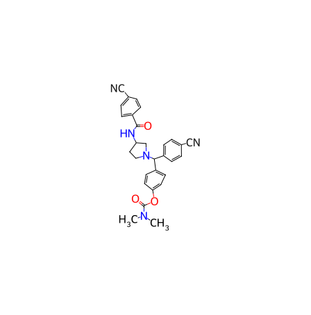 CN(C)C(=O)Oc1ccc(C(c2ccc(C#N)cc2)N2CCC(NC(=O)c3ccc(C#N)cc3)C2)cc1